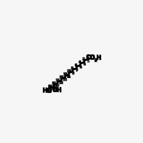 O=C(O)CCCCCCCCCCCCCCCCCCC(O)CO